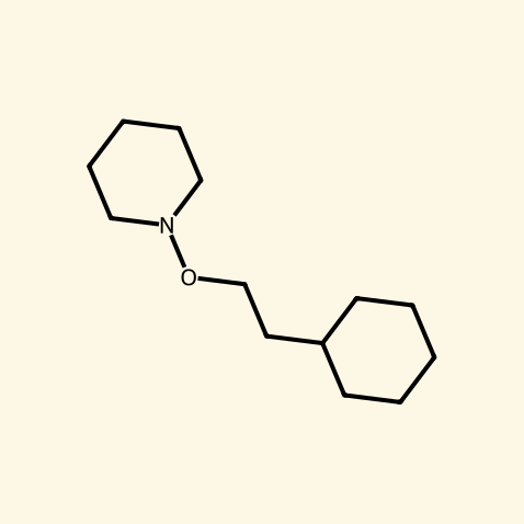 C1CCC(CCON2CCCCC2)CC1